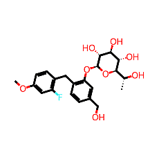 COc1ccc(Cc2ccc(CO)cc2O[C@@H]2O[C@H]([C@@H](C)O)[C@@H](O)[C@H](O)[C@H]2O)c(F)c1